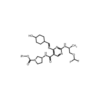 CC(C)OC(=O)N1CC[C@H](NC(=O)c2cnc(N[C@@H](C)COC(F)F)nc2/N=C/C2CCC(O)CC2)C1